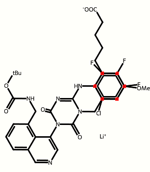 COc1cc(Cl)c(Nc2nc(=O)n(-c3cncc4cccc(CNC(=O)OC(C)(C)C)c34)c(=O)n2Cc2cc(F)c(F)c(F)c2)c(CCCCC(=O)[O-])c1.[Li+]